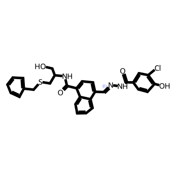 O=C(N/N=C/c1ccc(C(=O)NC(CO)CSCc2ccccc2)c2ccccc12)c1ccc(O)c(Cl)c1